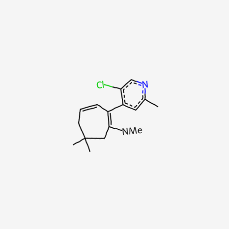 CNC1=C(c2cc(C)ncc2Cl)C=CCC(C)(C)C1